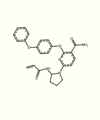 C=CC(=O)NC1CCCN1c1ccc(C(N)=O)c(Oc2ccc(Oc3ccccc3)cc2)n1